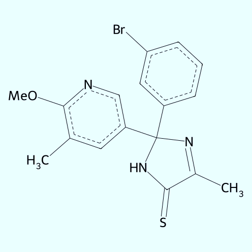 COc1ncc(C2(c3cccc(Br)c3)N=C(C)C(=S)N2)cc1C